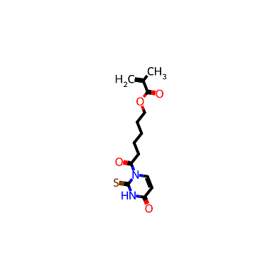 C=C(C)C(=O)OCCCCCC(=O)n1ccc(=O)[nH]c1=S